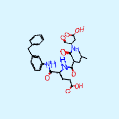 CC(C)CC(C(=O)NC(C=O)CC(=O)O)C(=O)NC(CCC(=O)O)C(=O)Nc1cccc(Cc2ccccc2)c1